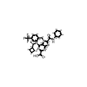 C[C@@H](Nc1nc(C(=O)O)nc2nc(C(=O)Nc3ccccc3)n(Cc3ccc(C(F)(F)F)cc3)c12)C1CCC1